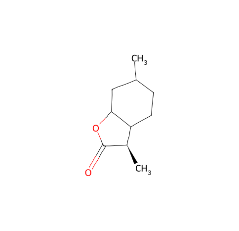 CC1CCC2C(C1)OC(=O)[C@@H]2C